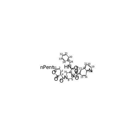 CCCCCc1ccc(C(=O)N2CCN(S(=O)(=O)c3ccc4ncccc4c3)C(C(=O)NCc3ccccc3)C2)c(=O)o1